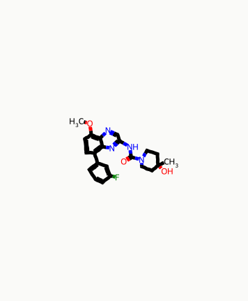 COc1ccc(-c2cccc(F)c2)c2nc(NC(=O)N3CCC(C)(O)CC3)cnc12